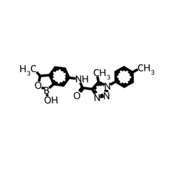 Cc1ccc(-n2nnc(C(=O)Nc3ccc4c(c3)B(O)OC4C)c2C)cc1